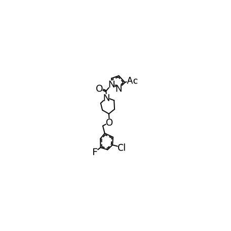 CC(=O)c1ccn(C(=O)N2CCC(OCc3cc(F)cc(Cl)c3)CC2)n1